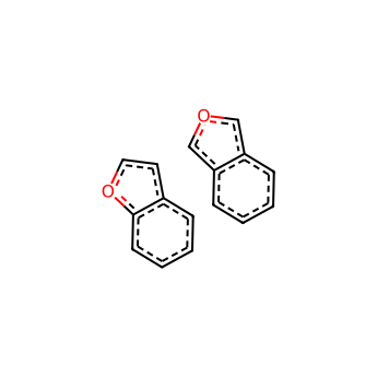 c1ccc2cocc2c1.c1ccc2occc2c1